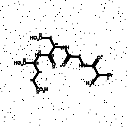 CC(C)C(N)C(=O)NCC(=O)NC(CC(=O)O)C(=O)NC(CCC(=O)O)C(=O)O